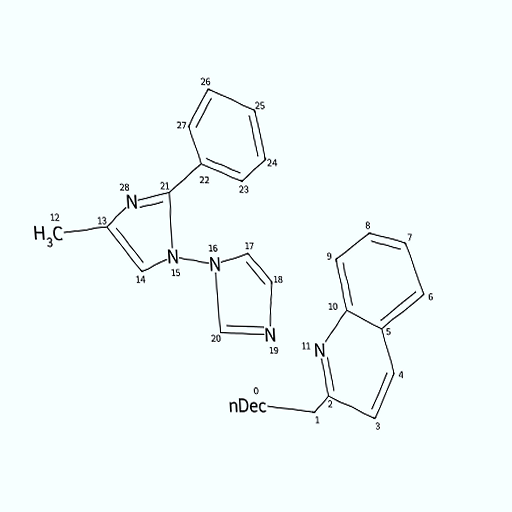 CCCCCCCCCCCc1ccc2ccccc2n1.Cc1cn(-n2ccnc2)c(-c2ccccc2)n1